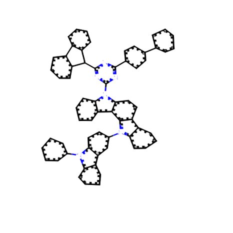 c1ccc(-c2ccc(-c3nc(C4c5ccccc5-c5ccccc54)nc(-n4c5ccccc5c5c4ccc4c6ccccc6n(-c6ccc7c(c6)c6ccccc6n7-c6ccccc6)c45)n3)cc2)cc1